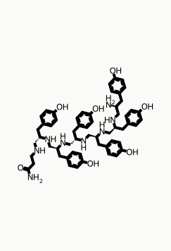 NC(=O)CCNC[C@H](Cc1ccc(O)cc1)NC[C@H](Cc1ccc(O)cc1)NC[C@H](Cc1ccc(O)cc1)NC[C@H](Cc1ccc(O)cc1)NC[C@H](Cc1ccc(O)cc1)NC[C@@H](N)Cc1ccc(O)cc1